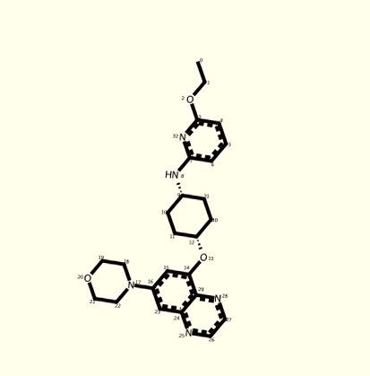 CCOc1cccc(N[C@H]2CC[C@@H](Oc3cc(N4CCOCC4)cc4nccnc34)CC2)n1